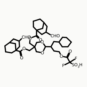 O=CC1CC2CCCC(C(=O)OCC3(COC(=O)C45CCCC(CC(C=O)C4)C5)COC(C(CCOC(=O)C(F)(F)S(=O)(=O)O)CC4CCCCC4)OC3)(C1)C2